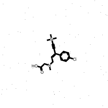 CN(C/C=C(/C#C[Si](C)(C)C)c1ccc(Cl)cc1)CC(=O)O